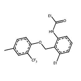 CCC(=O)Nc1cccc(CC)c1COc1ccc(C)cc1C(F)(F)F